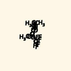 COc1cc(/C=C2/SC(N(C)C)=NC2=O)ccc1OCc1ccc(C(F)(F)F)cc1C(F)(F)F